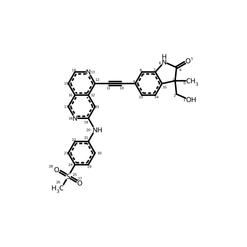 CC1(CO)C(=O)Nc2cc(C#Cc3nccc4cnc(Nc5ccc(S(C)(=O)=O)cc5)cc34)ccc21